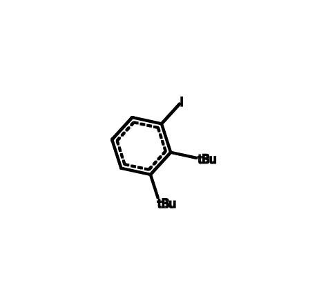 CC(C)(C)c1cccc(I)c1C(C)(C)C